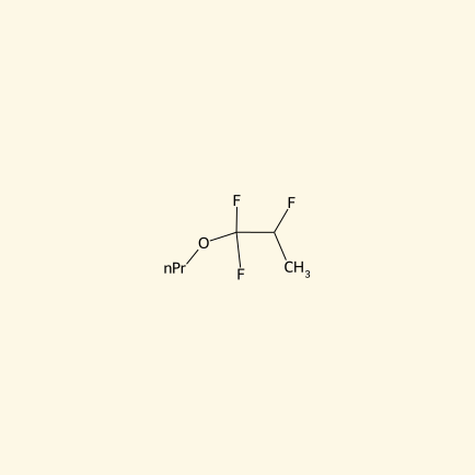 CCCOC(F)(F)C(C)F